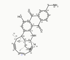 C[C@@H](O)[C@@]12O[C@]13c1cc(O)c4c(c1N[C@H]2C#C/C=C\C#C[C@@H]3C)C(=O)c1ccc(CN)cc1C4=O